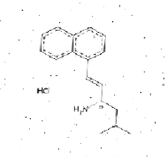 CC(C)C[C@H](N)C=Cc1cccc2ccccc12.Cl